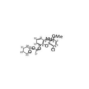 COc1ccc(Cl)c(Oc2c(N)cccc2OC(C)OC2CCCCO2)c1